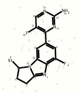 CCC1CCc2nc3c(F)cc(-c4nc(N)ncc4F)cc3n21